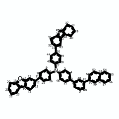 c1cc(-c2ccc(N(c3ccc(-c4ccc5c(c4)oc4ccccc45)cc3)c3ccc(-c4ccc5sc6ccccc6c5c4)cc3)cc2)cc(-c2ccc3ccccc3c2)c1